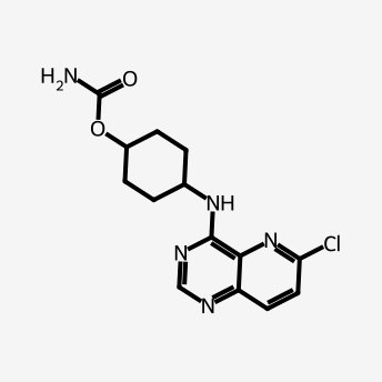 NC(=O)OC1CCC(Nc2ncnc3ccc(Cl)nc23)CC1